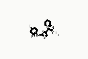 Cc1nc2ccccn2c1-c1csc(Nc2ccc(F)cc2F)n1